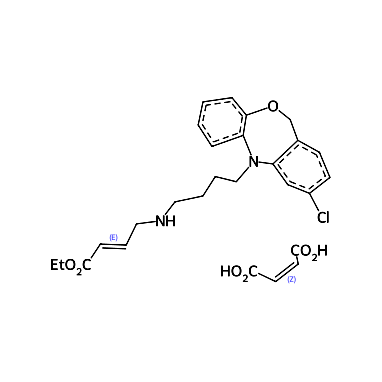 CCOC(=O)/C=C/CNCCCCN1c2cc(Cl)ccc2COc2ccccc21.O=C(O)/C=C\C(=O)O